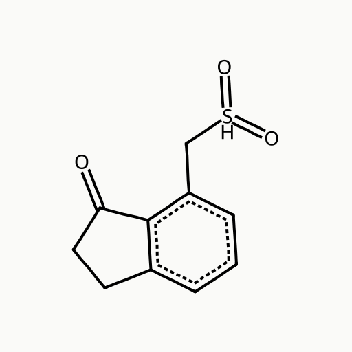 O=C1CCc2cccc(C[SH](=O)=O)c21